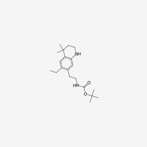 CCc1cc2c(cc1CCNC(=O)OC(C)(C)C)NCCC2(C)C